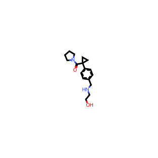 O=C(N1CCCC1)C1(c2ccc(CNCCO)cc2)CC1